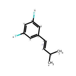 CC(C)/C=C/c1cc(F)cc(F)c1